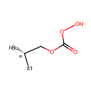 CCCC[C@@H](CC)COC(=O)OO